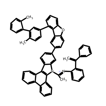 C=C(c1ccccc1)c1ccccc1/N=C(\C)n1c2cc(-c3ccc4oc5cccc(-c6ccc(C)c(-c7ccccc7C)c6)c5c4c3)ccc2c2c3ccccc3c3ccccc3c21